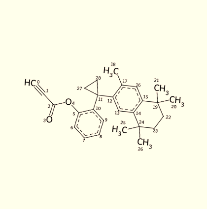 C#CC(=O)Oc1ccccc1C1(c2cc3c(cc2C)C(C)(C)CCC3(C)C)CC1